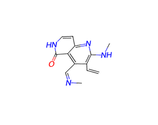 C=Cc1c(NC)nc2cc[nH]c(=O)c2c1/C=N\C